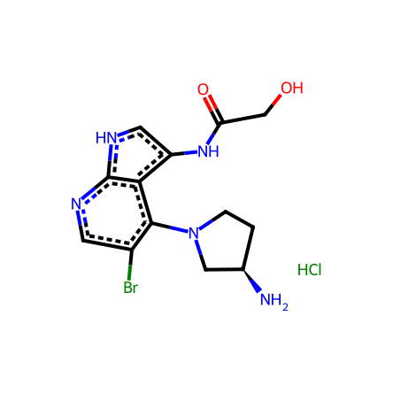 Cl.N[C@@H]1CCN(c2c(Br)cnc3[nH]cc(NC(=O)CO)c23)C1